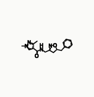 Cc1nn(C)cc1C(=O)NCC1=NOC(Cc2ccccc2)C1